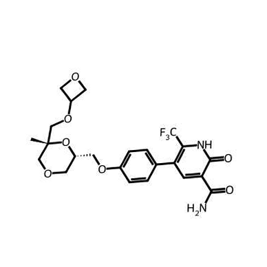 C[C@]1(COC2COC2)COC[C@@H](COc2ccc(-c3cc(C(N)=O)c(=O)[nH]c3C(F)(F)F)cc2)O1